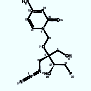 [N-]=[N+]=NC[C@](CO)(OCn1ccc(N)nc1=O)[C@@H](O)CF